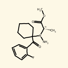 COC(=O)[C@H](C)N(N)C1(C(=O)c2ccccc2F)CCCCC1